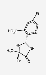 CCc1cnc([C@@H]2NC(=O)[C@@](C)(C(C)C)N2)c(C(=O)O)c1